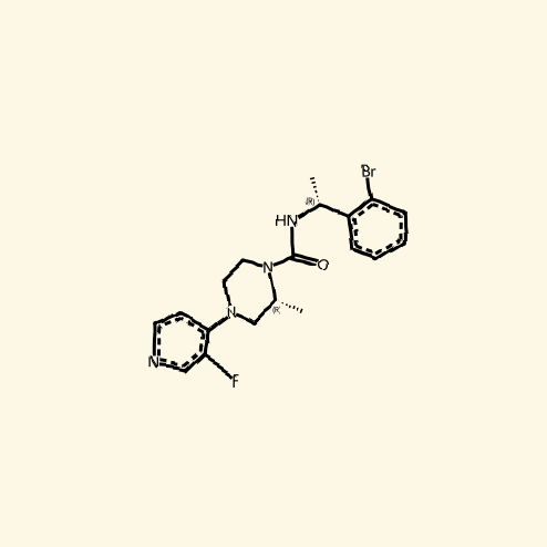 C[C@@H]1CN(c2ccncc2F)CCN1C(=O)N[C@H](C)c1ccccc1Br